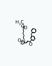 CCOC(=O)CCCCCCN1C(=O)CCC1C=CC(=O)c1cccc(Cc2ccccc2)c1